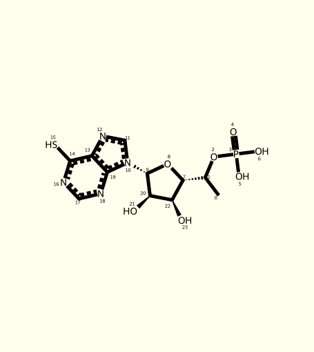 CC(OP(=O)(O)O)[C@H]1O[C@@H](n2cnc3c(S)ncnc32)[C@H](O)[C@@H]1O